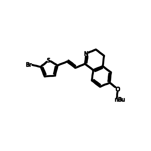 CCCCOc1ccc2c(c1)CCN=C2/C=C/c1ccc(Br)s1